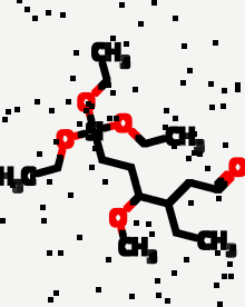 CCO[Si](CCC(OC)C(CC)CC=O)(OCC)OCC